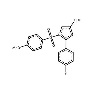 COc1ccc(S(=O)(=O)n2cc(C=O)cc2-c2ccc(F)cc2)cc1